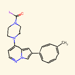 CC1=C/C=C\C=C(c2cc3c(N4CCN(C(=O)I)CC4)ccnn3c2)/C=C\1